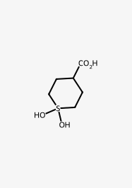 O=C(O)C1CCS(O)(O)CC1